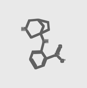 O=[N+]([O-])c1ccccc1NC12CCC(CNC1)C2